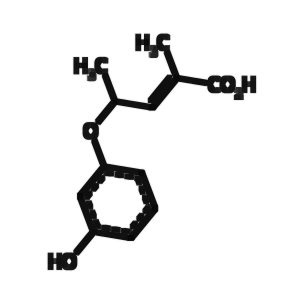 C/C(=C\C(C)Oc1cccc(O)c1)C(=O)O